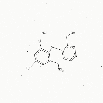 Cl.NCc1cc(C(F)(F)F)cc(Cl)c1Sc1ccncc1CO